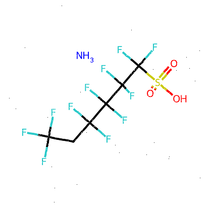 N.O=S(=O)(O)C(F)(F)C(F)(F)C(F)(F)C(F)(F)CC(F)(F)F